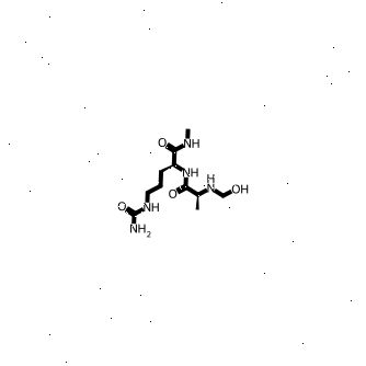 CNC(=O)[C@H](CCCNC(N)=O)NC(=O)[C@H](C)NCO